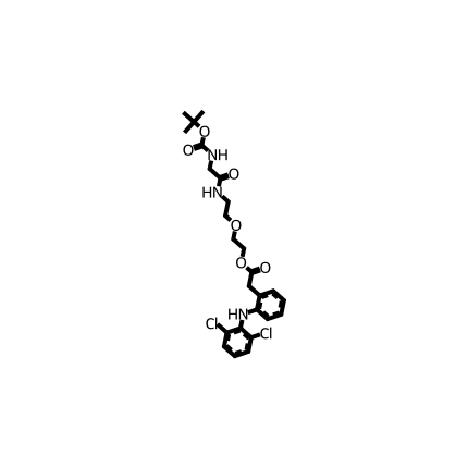 CC(C)(C)OC(=O)NCC(=O)NCCOCCOC(=O)Cc1ccccc1Nc1c(Cl)cccc1Cl